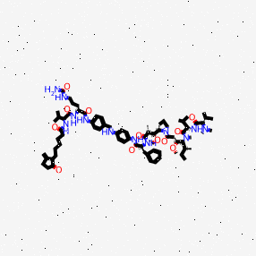 C=C1CCC(=O)C1CCCCCC(=O)NC(C(=O)N[C@@H](CCCNC(N)=O)C(=O)Nc1ccc(CNc2ccc(NC(=O)[C@H](Cc3ccccc3)NC(=O)[C@H](C)[C@@H](OC)[C@@H]3CCCN3C(=O)C[C@@H](OC)[C@H]([C@@H](C)CC)N(C)C(=O)[C@@H](NC(=O)[C@H](C(C)C)N(C)C)C(C)C)cc2)cc1)C(C)C